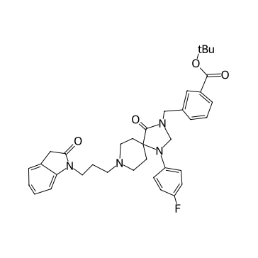 CC(C)(C)OC(=O)c1cccc(CN2CN(c3ccc(F)cc3)C3(CCN(CCCN4C(=O)Cc5ccccc54)CC3)C2=O)c1